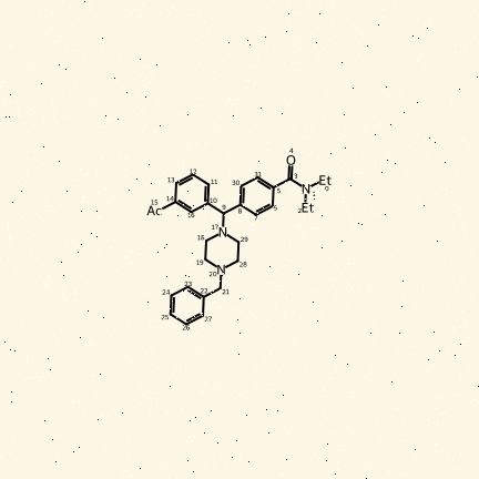 CCN(CC)C(=O)c1ccc(C(c2cccc(C(C)=O)c2)N2CCN(Cc3ccccc3)CC2)cc1